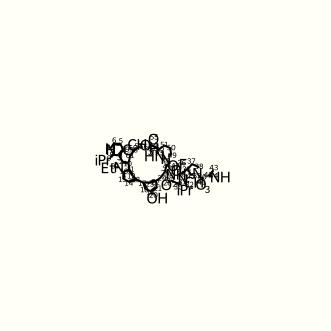 CCn1c(-c2cccnc2C(C)C)c2c3cc(ccc31)-c1cc(O)cc(c1)C[C@H](NC(=O)[C@H](C(C)C)N(C)C(=O)[C@@]1(F)CCN(C(=O)[C@@H]3CN3)C1)C(=O)N1CCC[C@H](N1)C(=O)OCC(C)(C)C2